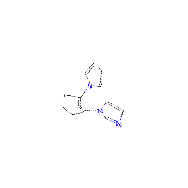 c1ccn(C2=C(n3ccnc3)CCC2)c1